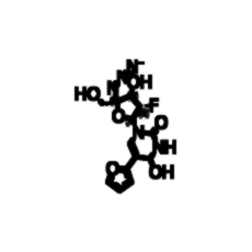 [N-]=[N+]=N[C@]1(CO)O[C@@H](N2C=C(c3ccco3)C(O)NC2=O)[C@@H](F)[C@@H]1O